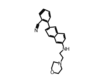 N#Cc1c#cccc1-c1ccc2cc(NCCN3CCOCC3)ccc2c1